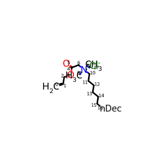 C=CCOC(=O)C[N+](C)(C)CCCCCCCCCCCCCCCC.[Cl-]